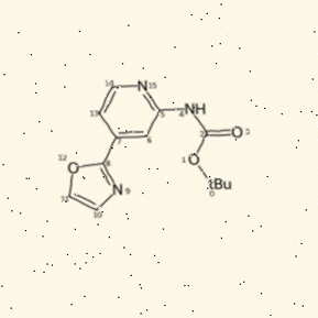 CC(C)(C)OC(=O)Nc1cc(-c2ncco2)ccn1